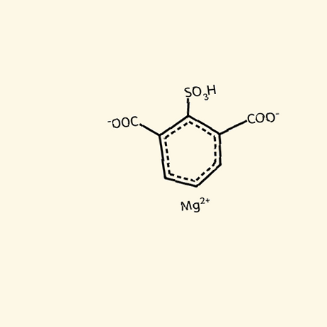 O=C([O-])c1cccc(C(=O)[O-])c1S(=O)(=O)O.[Mg+2]